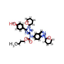 CCCCOC(=O)N(c1ccc2c(cnn2C2CCCCO2)c1)c1nc(-c2ccc(O)cc2)n(C2CCCCO2)n1